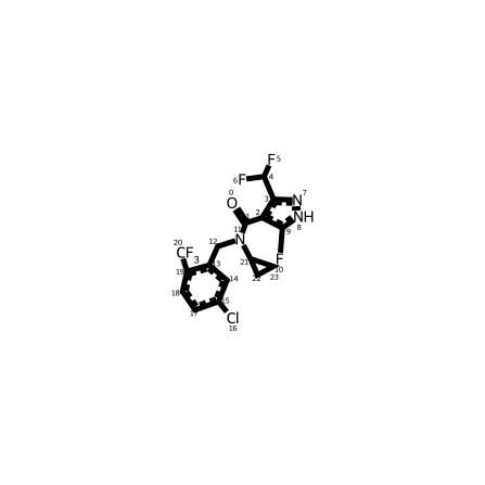 O=C(c1c(C(F)F)n[nH]c1F)N(Cc1cc(Cl)ccc1C(F)(F)F)C1CC1